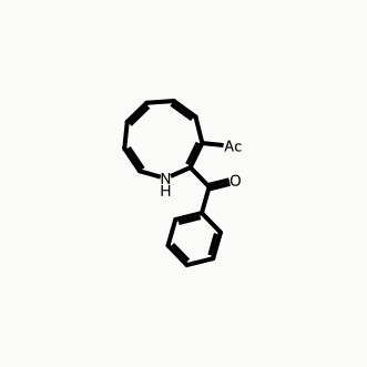 CC(=O)c1cccccc[nH]c1C(=O)c1ccccc1